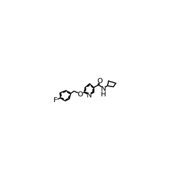 O=C(NC1CCC1)c1ccc(OCc2ccc(F)cc2)nc1